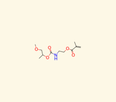 C=C(C)C(=O)OCCNC(=O)OC(C)COC